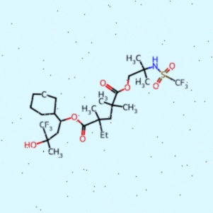 CCC(C)(CC(C)(C)C(=O)OCC(C)(C)NS(=O)(=O)C(F)(F)F)C(=O)OC(CC(C)(O)C(F)(F)F)C1CCCCC1